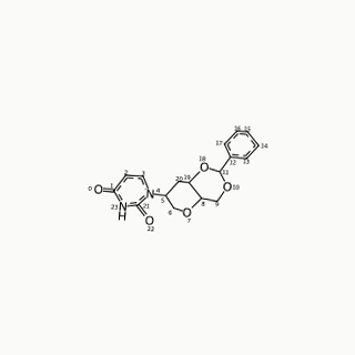 O=c1ccn(C2COC3COC(c4ccccc4)OC3C2)c(=O)[nH]1